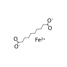 O=C([O-])CCCCCCCCC(=O)[O-].[Fe+2]